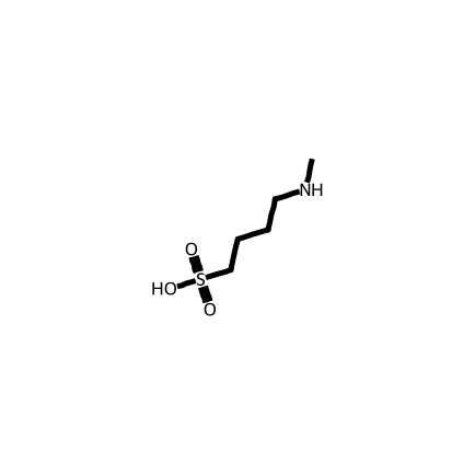 CNCCCCS(=O)(=O)O